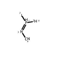 [2H]/[PH](I)=N\C#N